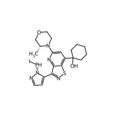 C[C@@H]1COCCN1c1cc(C2(O)CCCCC2)c2snc(-c3ccnn3PI)c2n1